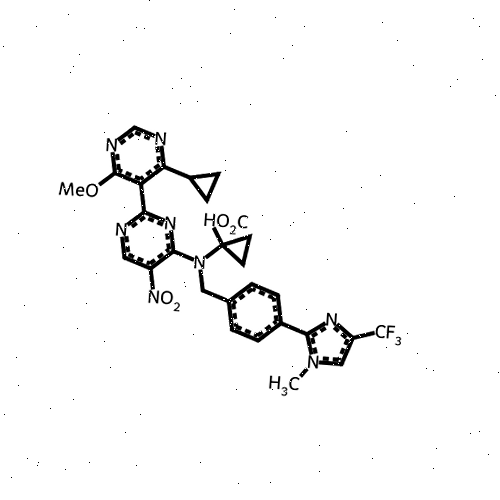 COc1ncnc(C2CC2)c1-c1ncc([N+](=O)[O-])c(N(Cc2ccc(-c3nc(C(F)(F)F)cn3C)cc2)C2(C(=O)O)CC2)n1